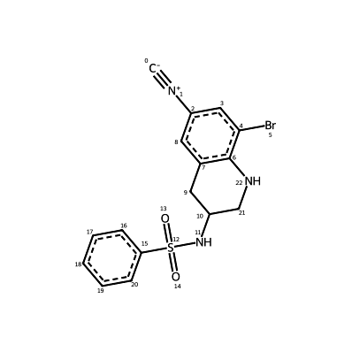 [C-]#[N+]c1cc(Br)c2c(c1)CC(NS(=O)(=O)c1ccccc1)CN2